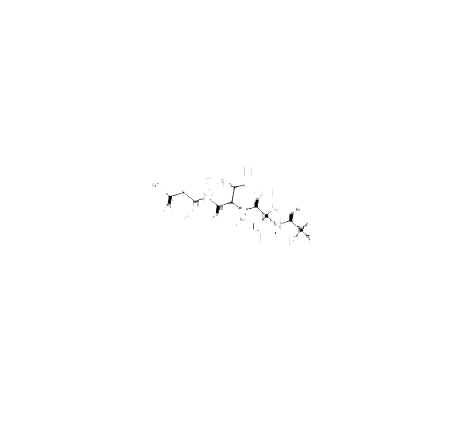 CC(C)C(C(=O)N(C)[C@H](C)CC(=O)O)N(C)C(=O)C(C)(C)N(C)C(=O)C(F)(F)F